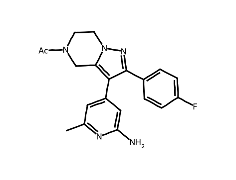 CC(=O)N1CCn2nc(-c3ccc(F)cc3)c(-c3cc(C)nc(N)c3)c2C1